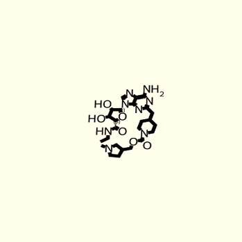 CCNC(=O)[C@H]1O[C@@H](n2cnc3c(N)nc(CC4CCN(C(=O)OCC5CCN(C)C5)CC4)nc32)C(O)C1O